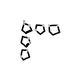 C1=CONC1.C1=NOCC1.C1COCO1.C1CSCS1.C1CSSC1